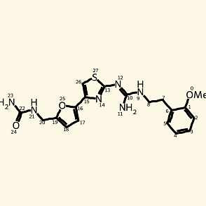 COc1ccccc1CCN/C(N)=N/c1nc(-c2ccc(CNC(N)=O)o2)cs1